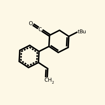 C=Cc1ccccc1C1=CC=C(C(C)(C)C)CC1=C=O